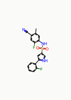 Cc1cc(NS(=O)(=O)c2c[nH]c(-c3ccccc3F)c2)c(F)cc1C#N